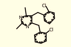 Cc1nc(C)c(Cc2ccccc2Cl)c(Cc2ccccc2Cl)n1